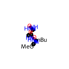 CCCCc1cc(NC(=O)Nc2ccc(Oc3ccnc4[nH]c(=O)[nH]c34)c3ccccc23)n(-c2ccc(OC)cc2)n1